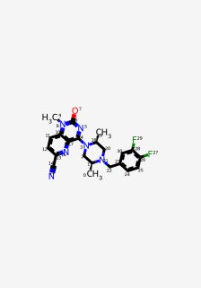 C[C@H]1CN(c2nc(=O)n(C)c3ccc(C#N)nc23)[C@@H](C)CN1Cc1ccc(F)c(F)c1